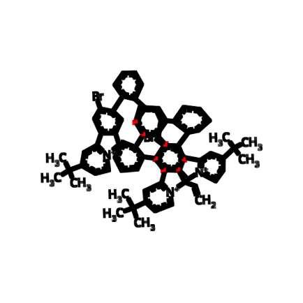 C=CC1c2cc(-c3ccccc3C3CC(c4ccccc4-c4cc5c(cc4Br)-c4cc(C(C)(C)C)cc[n+]4C5)CC(c4ccccc4-c4cc5c(cc4-c4ccccc4)-c4cc(C(C)(C)C)cc[n+]4C5)C3)c(Br)cc2-c2cc(C(C)(C)C)cc[n+]21